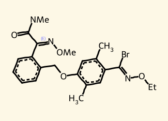 CCON=C(Br)c1cc(C)c(OCc2ccccc2/C(=N\OC)C(=O)NC)cc1C